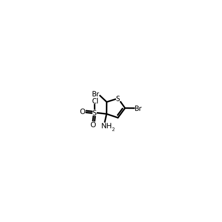 NC1(S(=O)(=O)Cl)C=C(Br)SC1Br